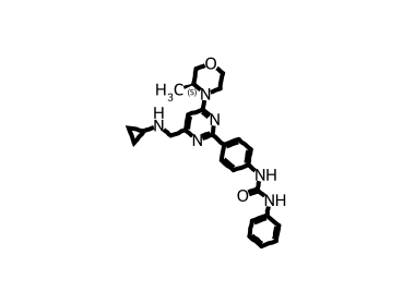 C[C@H]1COCCN1c1cc(CNC2CC2)nc(-c2ccc(NC(=O)Nc3ccccc3)cc2)n1